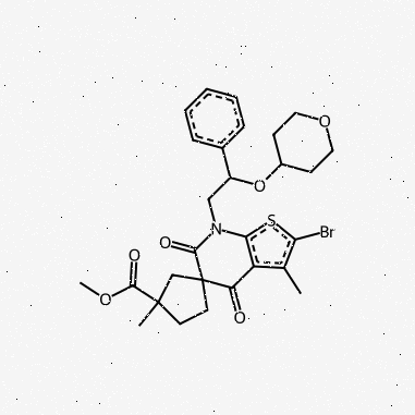 COC(=O)C1(C)CCC2(C1)C(=O)c1c(sc(Br)c1C)N(CC(OC1CCOCC1)c1ccccc1)C2=O